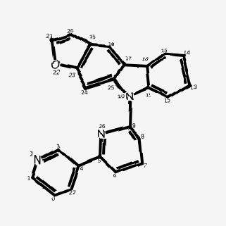 c1cncc(-c2cccc(-n3c4ccccc4c4cc5ccoc5cc43)n2)c1